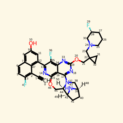 C#Cc1c(F)ccc2cc(O)cc(-c3nc4c5c(nc(OCC6(CN7CCC[C@H](F)C7)CC6)nc5c3F)N3C[C@H]5CC[C@H](N5)[C@H]3CO4)c12